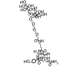 CC(C)[C@H](NC(=O)[C@@H](N)CCCCNC(=O)CCOCCOCCOCCOCCN(C[C@H](O)[C@@H](O)[C@H](O)[C@H](O)CO)C[C@H](O)[C@@H](O)[C@H](O)[C@H](O)CO)C(=O)N[C@@H](CCCNC(N)=O)C(=O)Nc1ccc(CO)cc1